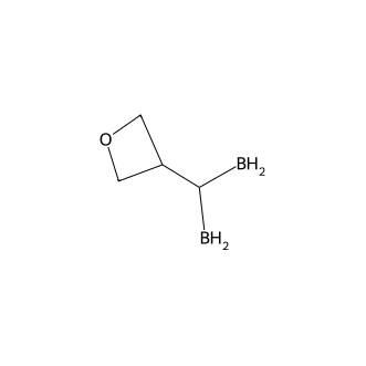 BC(B)C1COC1